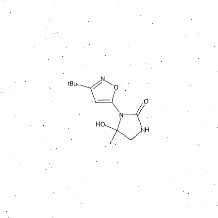 CC(C)(C)c1cc(N2C(=O)NCC2(C)O)on1